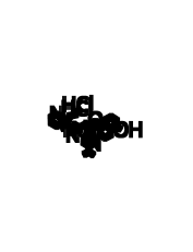 CCCCC1(Cn2cc(CN(C(=O)C3CCCc4c(O)cccc43)c3ccc(C(C)C)nc3)cn2)C=CCN=C1.Cl.Cl